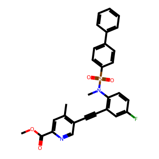 COC(=O)c1cc(C)c(C#Cc2cc(F)ccc2N(C)S(=O)(=O)c2ccc(-c3ccccc3)cc2)cn1